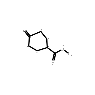 C=C1CCC(C(=O)OI)CC1